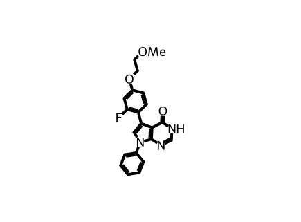 COCCOc1ccc(-c2cn(-c3ccccc3)c3nc[nH]c(=O)c23)c(F)c1